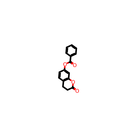 O=C1CCc2ccc(OC(=O)c3ccccc3)cc2O1